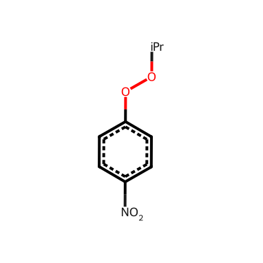 CC(C)OOc1ccc([N+](=O)[O-])cc1